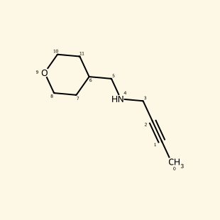 CC#CCNCC1CCOCC1